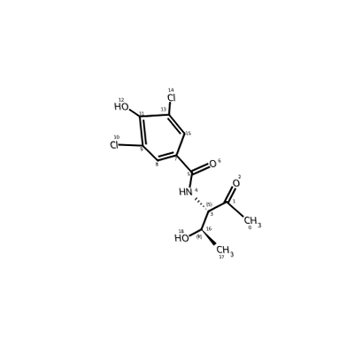 CC(=O)[C@@H](NC(=O)c1cc(Cl)c(O)c(Cl)c1)[C@@H](C)O